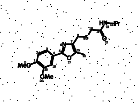 COc1ccc(-c2nc(CSCC(=O)NC(C)C)c(C)o2)cc1OC